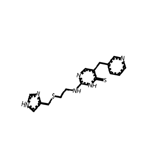 S=c1[nH]c(NCCSCc2c[nH]cn2)ncc1Cc1cccnc1